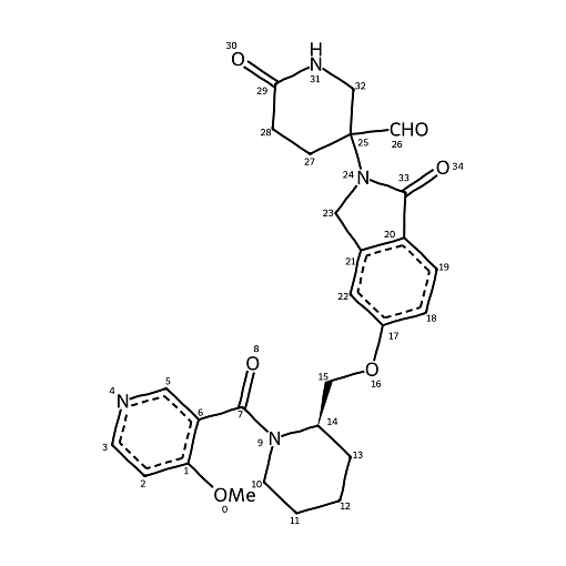 COc1ccncc1C(=O)N1CCCC[C@@H]1COc1ccc2c(c1)CN(C1(C=O)CCC(=O)NC1)C2=O